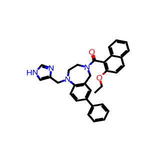 CCOc1ccc2ccccc2c1C(=O)N1CCN(Cc2c[nH]cn2)c2ccc(-c3ccccc3)cc2C1